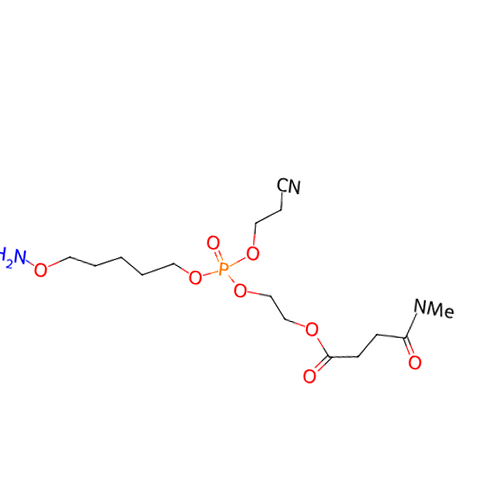 CNC(=O)CCC(=O)OCCOP(=O)(OCCC#N)OCCCCCON